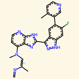 C=N/C(C)=C\N(C)c1ccnc2[nH]c(-c3n[nH]c4cc(F)c(-c5cnccc5C)cc34)nc12